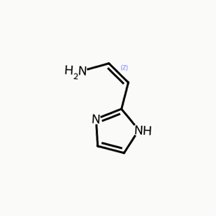 N/C=C\c1ncc[nH]1